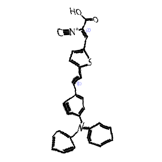 [C-]#[N+]/C(=C\c1ccc(/C=C/c2ccc(N(c3ccccc3)c3ccccc3)cc2)s1)C(=O)O